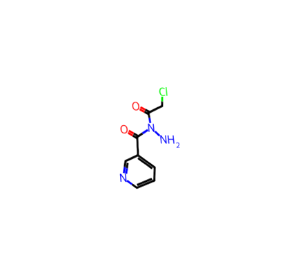 NN(C(=O)CCl)C(=O)c1cccnc1